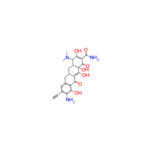 C#Cc1cc2c(c(O)c1N)C(=O)C1=C(O)C3(O)C(=O)C(C(N)=O)=C(O)C(N(C)C)C3CC1C2